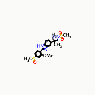 COc1cc([S+](C)[O-])ccc1-c1nc2cc(C(C)(C)CNS(C)(=O)=O)ccc2[nH]1